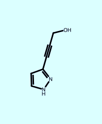 OCC#Cc1cc[nH]n1